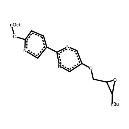 CCCCCCCCOc1ccc(-c2ncc(OCC3OC3CCCC)cn2)cn1